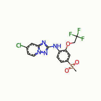 CS(=O)(=O)c1ccc(Nc2nc3cc(Cl)ccn3n2)c(OCC(F)(F)F)c1